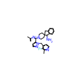 C=C(C)/N=C(\c1ccnn1Cc1ccnc(C)c1F)N1CCC2(CC1)Cc1ccccc1[C@H]2N